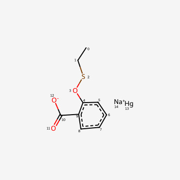 CCSOc1ccccc1C(=O)[O-].[Hg].[Na+]